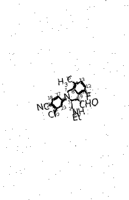 CCNC[C@H](CC=O)N(Cc1cc(F)ccc1C)c1ccc(C#N)c(Cl)c1